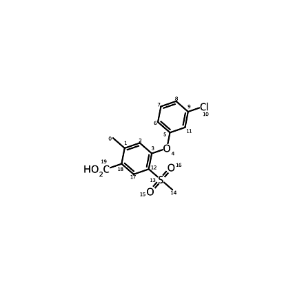 Cc1cc(Oc2cccc(Cl)c2)c(S(C)(=O)=O)cc1C(=O)O